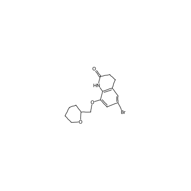 O=C1CCc2cc(Br)cc(OCC3CCCCO3)c2N1